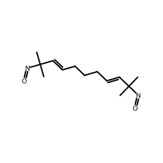 CC(C)(C=CCCCC=CC(C)(C)N=O)N=O